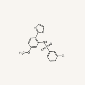 COc1ccc(-c2ncco2)c(NS(=O)(=O)c2cccc(Cl)c2)c1